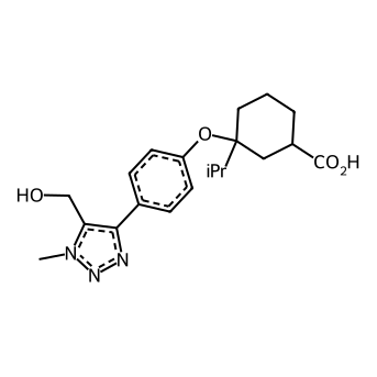 CC(C)C1(Oc2ccc(-c3nnn(C)c3CO)cc2)CCCC(C(=O)O)C1